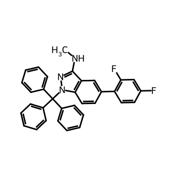 CNc1nn(C(c2ccccc2)(c2ccccc2)c2ccccc2)c2ccc(-c3ccc(F)cc3F)cc12